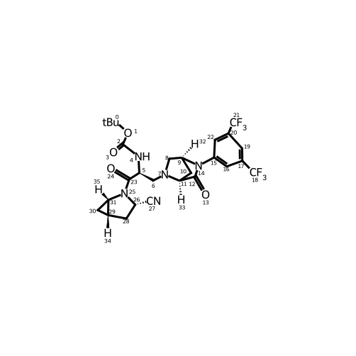 CC(C)(C)OC(=O)N[C@@H](CN1C[C@@H]2C[C@H]1C(=O)N2c1cc(C(F)(F)F)cc(C(F)(F)F)c1)C(=O)N1[C@H](C#N)C[C@@H]2C[C@@H]21